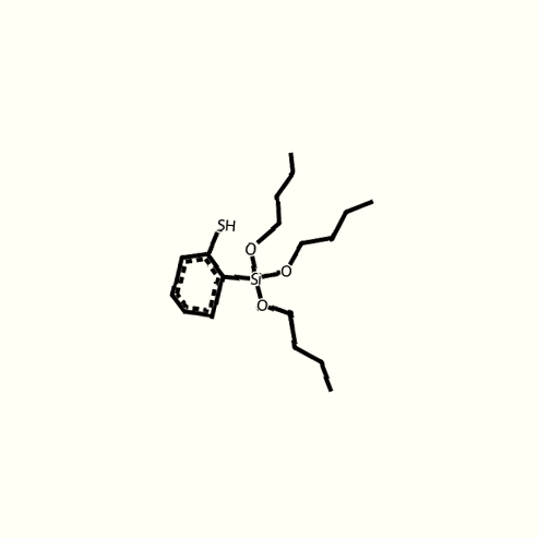 CCCCO[Si](OCCCC)(OCCCC)c1ccccc1S